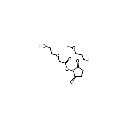 COCCO.O=C(COCCO)ON1C(=O)CCC1=O